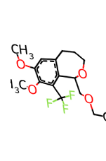 [CH2]COCC1OCCCc2cc(OC)c(OC)c(C(F)(F)F)c21